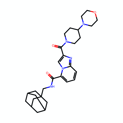 O=C(NCC12CC3CC(CC(C3)C1)C2)c1cccc2nc(C(=O)N3CCC(N4CCOCC4)CC3)cn12